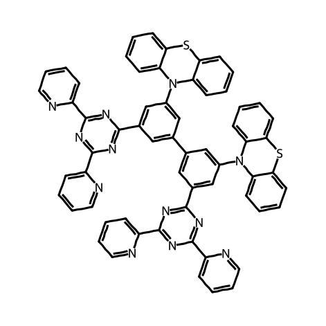 c1ccc(-c2nc(-c3cc(-c4cc(-c5nc(-c6ccccn6)nc(-c6ccccn6)n5)cc(N5c6ccccc6Sc6ccccc65)c4)cc(N4c5ccccc5Sc5ccccc54)c3)nc(-c3ccccn3)n2)nc1